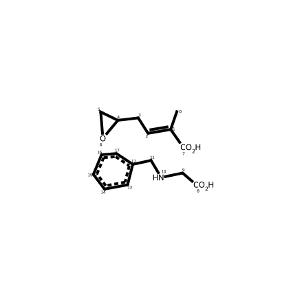 CC(=CCC1CO1)C(=O)O.O=C(O)CNCc1ccccc1